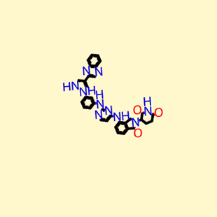 N=C/C(=C\Nc1cccc(Nc2nccc(Nc3cccc4c3CN(C3CCC(=O)NC3=O)C4=O)n2)c1)c1cnc2ccccc2n1